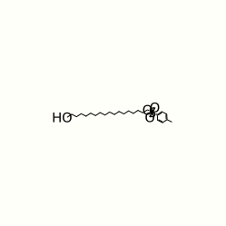 Cc1ccc(S(=O)(=O)OCCCCCCCCCCCCCCCCO)cc1